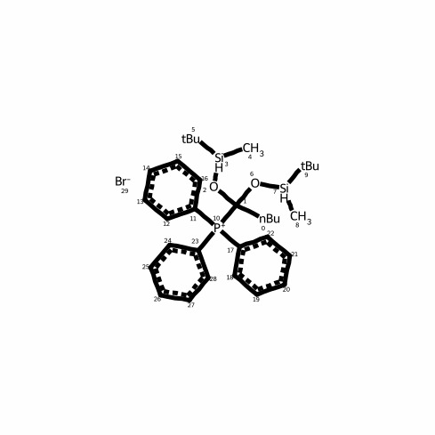 CCCCC(O[SiH](C)C(C)(C)C)(O[SiH](C)C(C)(C)C)[P+](c1ccccc1)(c1ccccc1)c1ccccc1.[Br-]